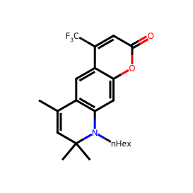 CCCCCCN1c2cc3oc(=O)cc(C(F)(F)F)c3cc2C(C)=CC1(C)C